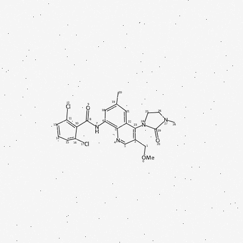 COCc1cnc2c(NC(=O)c3c(Cl)cccc3Cl)cc(C)cc2c1N1CCN(C)C1=O